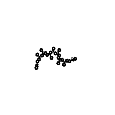 c1ccc(N(c2ccc3cc(-c4cc5ccccc5o4)ccc3c2)c2ccc3c4c5ccc6c(c5ccc4n(-c4ccccc4)c3c2)c2ccc(N(c3ccccc3)c3ccc4c5c7ccc8c(c7ccc5n(-c5ccccc5)c4c3)c3ccc(N(c4ccccc4)c4ccc5cc(-c7cc9ccccc9o7)ccc5c4)cc3n8-c3ccccc3)cc2n6-c2ccccc2)cc1